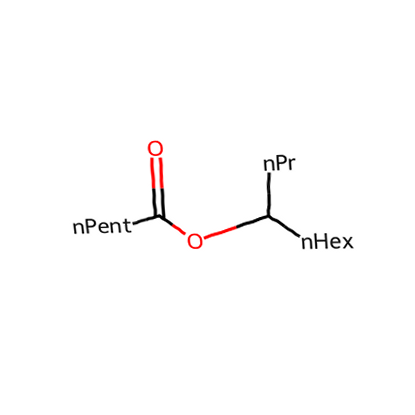 CCCCCCC(CCC)OC(=O)CCCCC